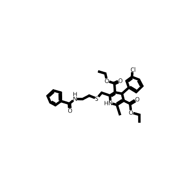 CCOC(=O)C1=C(C)NC(CSCCNC(=O)c2ccccc2)=C(C(=O)OCC)C1c1cccc(Cl)c1